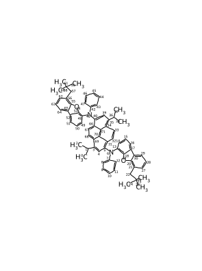 CC(C)c1cc(N(c2ccccc2)c2cccc3c2oc2c(CC(C)(C)C)cccc23)c2ccc3c(C(C)C)cc(N(c4ccccc4)c4cccc5c4oc4c(CC(C)(C)C)cccc45)c4ccc1c2c34